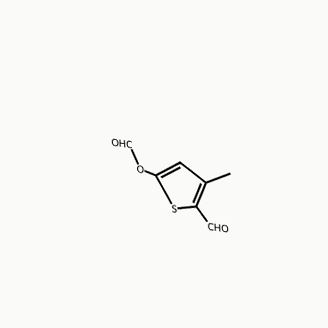 Cc1cc(OC=O)sc1C=O